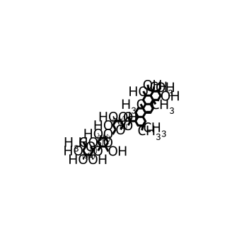 CC1O[C@H](OC2C(CO)O[C@@H](OCC3O[C@@H](OC(=O)C4CC(C)(C)CC5C6=CCC7C(CC(O)C8C(C)(CO)C(O)C(O)CC78C)C6(C)CCC45)[C@@H](O)[C@H](O)C3O)[C@@H](O)[C@@H]2O)[C@@H](O)[C@@H](O)C1O